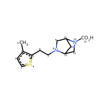 Cc1ccsc1CCN1CC2CC1CN2C(=O)O